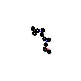 C1=CC2c3cc(-c4ccc5c(c4)c4ccccc4n5-c4ccc(-c5cccc6c5oc5ccccc56)cc4)ccc3N(c3ccc4c5ccccc5c5ccccc5c4c3)[C@@H]2C=C1